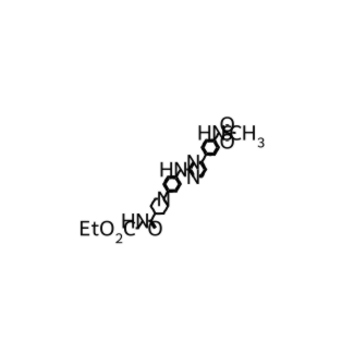 CCOC(=O)CNC(=O)C1CCN(c2ccc(Nc3nccc(-c4ccc(NS(C)(=O)=O)cc4)n3)cc2)CC1